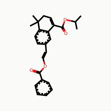 CC(C)OC(=O)C1=CCC(C)(C)c2ccc(/C=C/OC(=O)c3ccccc3)cc21